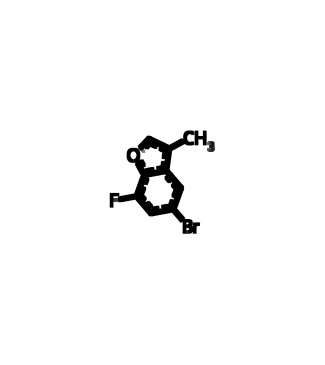 Cc1coc2c(F)cc(Br)cc12